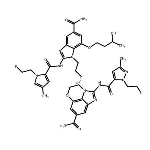 Cc1cc(C(=O)Nc2nc3cc(C(N)=O)cc(OCCC(C)O)c3n2CCC[C@H]2COc3cc(C(N)=O)cc4nc(NC(=O)c5cc(C)nn5CCF)n2c34)n(CCF)n1